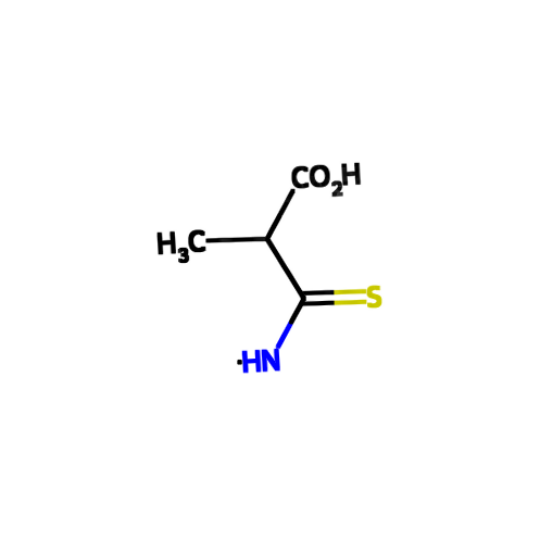 CC(C(=O)O)C([NH])=S